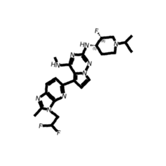 CNc1nc(N[C@H]2CCN(C(C)C)C[C@H]2F)nn2ccc(-c3ccc4nc(C)n(CC(F)F)c4n3)c12